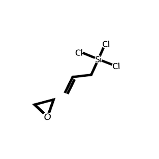 C1CO1.C=CC[Si](Cl)(Cl)Cl